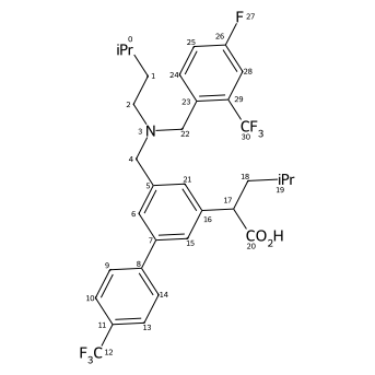 CC(C)CCN(Cc1cc(-c2ccc(C(F)(F)F)cc2)cc(C(CC(C)C)C(=O)O)c1)Cc1ccc(F)cc1C(F)(F)F